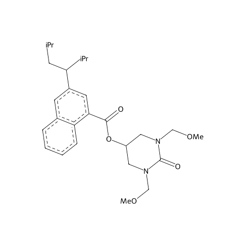 COCN1CC(OC(=O)c2cc(C(CC(C)C)C(C)C)cc3ccccc23)CN(COC)C1=O